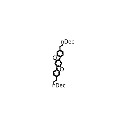 CCCCCCCCCCCCc1ccc2c(c1)oc1cc3c(cc12)oc1cc(CCCCCCCCCCCC)ccc13